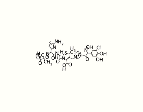 C[C@@H]1S[C@@H]2[C@H](NC(=O)/C(=N\OC(C)(C)C(=O)O)c3csc(N)n3)C(=O)N2C(C(=O)O)=C1C[N+]12CCC(CC1)N(C(=O)C(=NO)c1cc(O)c(O)c(Cl)c1)CC2